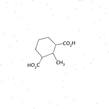 CC1[C](C(=O)O)CCCC1C(=O)O